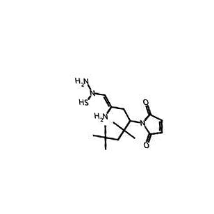 CC(C)(C)CC(C)(C)C(C/C(N)=C/N(N)S)N1C(=O)C=CC1=O